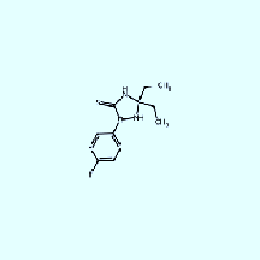 CCC1(CC)NC(=S)N(c2ccc(F)cc2)N1